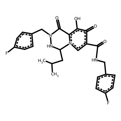 CC(C)CC1NN(Cc2ccc(F)cc2)C(=O)c2c(O)c(=O)c(C(=O)NCc3ccc(F)cc3)cn21